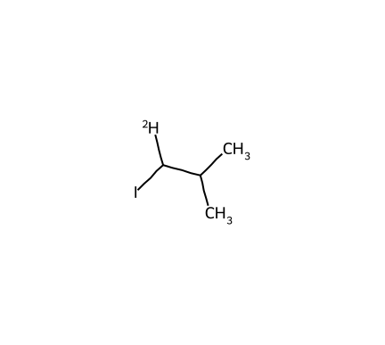 [2H]C(I)C(C)C